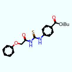 CC(C)COC(=O)c1ccc(NC(=S)NC(=O)COc2ccccc2)cc1